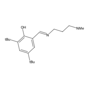 CNCCCN=Cc1cc(C(C)(C)C)cc(C(C)(C)C)c1O